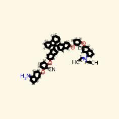 C#CCN(CC#C)c1cccc2cc(Oc3cccc(Oc4ccc5cc(C6(c7ccc8cc(Oc9cccc(Oc%10ccc%11c(N)cccc%11c%10)c9C#N)ccc8c7)c7ccccc7-c7ccccc76)ccc5c4)c3C#N)ccc12